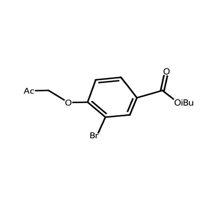 CC(=O)COc1ccc(C(=O)OCC(C)C)cc1Br